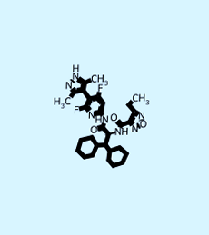 CCc1nonc1C(=O)N[C@H](C(=O)Nc1cc(F)c(-c2c(C)n[nH]c2C)c(F)n1)C(C1CCCCC1)C1CCCCC1